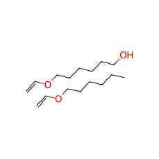 C=COCCCCCC.C=COCCCCCCO